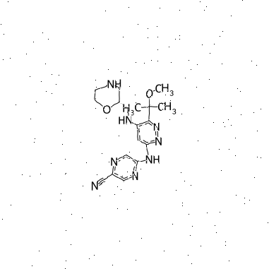 COC(C)(C)c1nnc(Nc2cnc(C#N)cn2)cc1NC[C@H]1CNCCO1